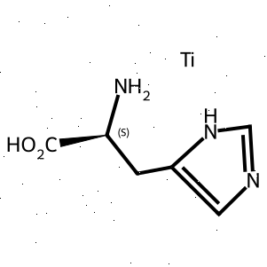 N[C@@H](Cc1cnc[nH]1)C(=O)O.[Ti]